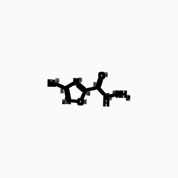 CCc1noc(C(=O)NN)n1